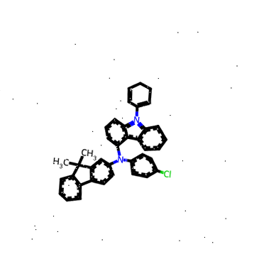 CC1(C)c2ccccc2-c2ccc(N(c3ccc(Cl)cc3)c3cccc4c3c3ccccc3n4C3=CCCC=C3)cc21